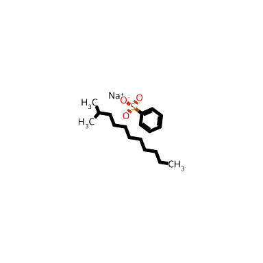 CCCCCCCCCC(C)C.O=S(=O)([O-])c1ccccc1.[Na+]